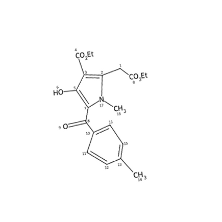 CCOC(=O)Cc1c(C(=O)OCC)c(O)c(C(=O)c2ccc(C)cc2)n1C